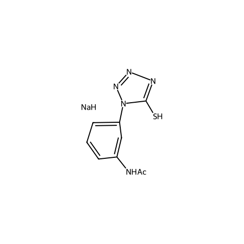 CC(=O)Nc1cccc(-n2nnnc2S)c1.[NaH]